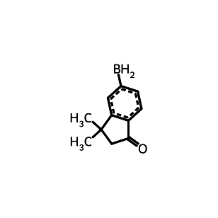 Bc1ccc2c(c1)C(C)(C)CC2=O